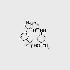 CC1(O)CCC(Nc2ccn3ncc(-c4cccc(C(F)(F)F)c4)c3n2)CC1